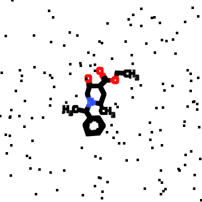 CCOC(=O)C1C[C@@H](C)N(C(C)c2ccccc2)CC1=O